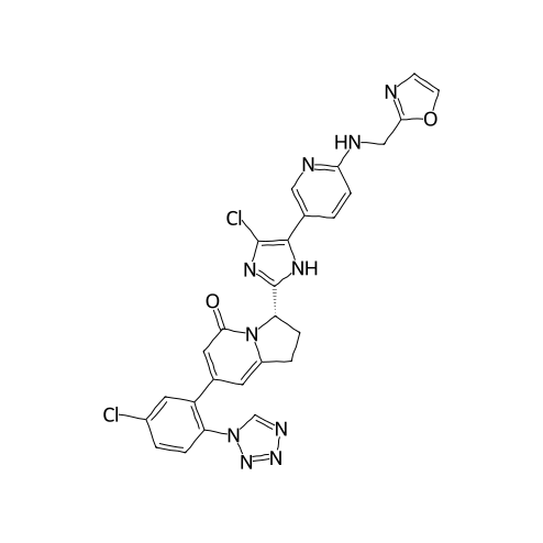 O=c1cc(-c2cc(Cl)ccc2-n2cnnn2)cc2n1[C@H](c1nc(Cl)c(-c3ccc(NCc4ncco4)nc3)[nH]1)CC2